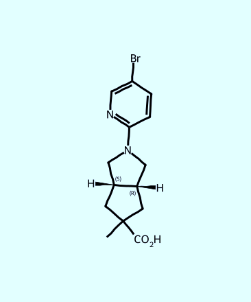 CC1(C(=O)O)C[C@H]2CN(c3ccc(Br)cn3)C[C@H]2C1